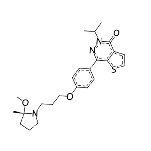 CO[C@@]1(C)CCCN1CCCOc1ccc(-c2nn(C(C)C)c(=O)c3ccsc23)cc1